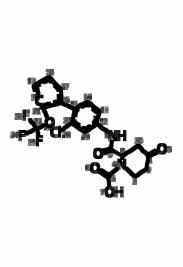 O=C1CCN(C(=O)O)[C@@H](C(=O)Nc2ccc(-c3ccccc3OC(F)(F)F)c(Cl)c2)C1